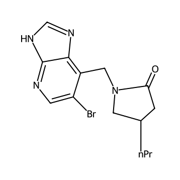 CCCC1CC(=O)N(Cc2c(Br)cnc3[nH]cnc23)C1